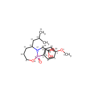 COc1ccc(P2(=O)OCCCC(CC(C)C)N2CC(=O)O)cc1